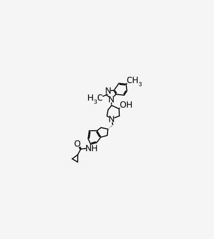 Cc1ccc2c(c1)nc(C)n2[C@@H]1CCN(C[C@H]2Cc3ccc(NC(=O)C4CC4)cc3C2)C[C@H]1O